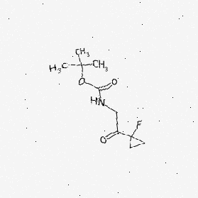 CC(C)(C)OC(=O)NCC(=O)C1(F)CC1